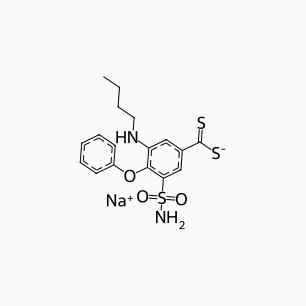 CCCCNc1cc(C(=S)[S-])cc(S(N)(=O)=O)c1Oc1ccccc1.[Na+]